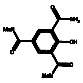 CNC(=O)c1cc(C(N)=O)c(O)c(C(=O)NC)c1